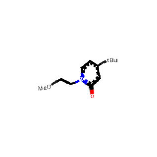 COCCn1ccc(C(C)(C)C)cc1=O